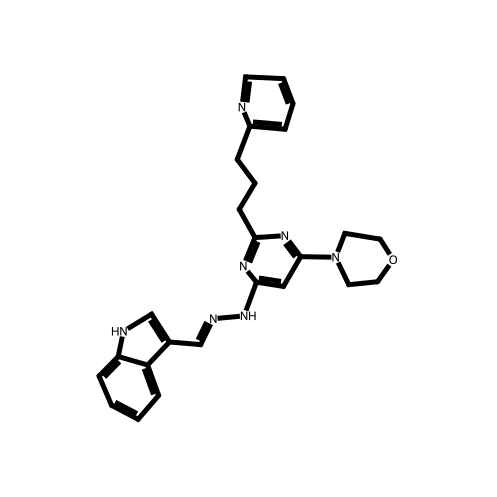 C(=N\Nc1cc(N2CCOCC2)nc(CCCc2ccccn2)n1)/c1c[nH]c2ccccc12